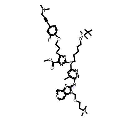 COC(=O)c1nc(N(CCCCCO[Si](C)(C)C(C)(C)C)c2cc(C)c(/N=c3\sc4ccccc4n3COCC[Si](C)(C)C)nn2)sc1CCCOc1ccc(C#CCN(C)C)cc1F